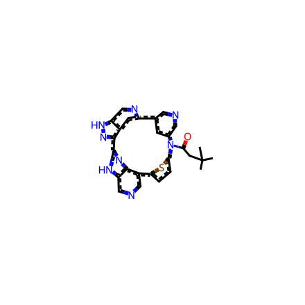 CC(C)(C)CC(=O)n1c2cncc(c2)c2cc3c(cn2)[nH]nc3c2nc3c(cncc3c3ccc1s3)[nH]2